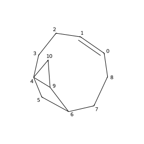 C1=C\CCC23CC(CC/1)C2C3